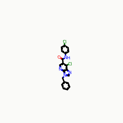 O=C(Nc1ccc(Cl)cc1)c1cnc2c(ncn2Cc2ccccc2)c1Cl